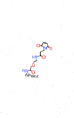 CCCCCNC(=O)COCCNC(=O)CCN1C(=O)C=CC1=O